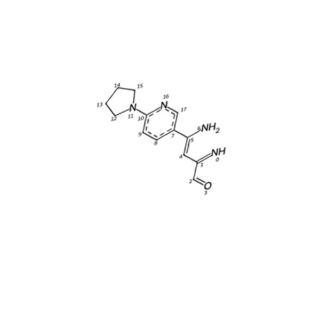 N=C(C=O)/C=C(\N)c1ccc(N2CCCC2)nc1